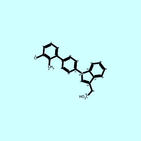 Cc1c(Cl)cccc1-c1ccc(-n2cc(CC(=O)O)c3ccccc32)cc1